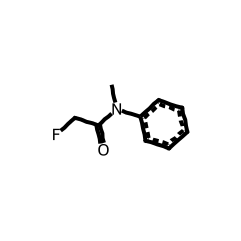 CN(C(=O)CF)c1ccccc1